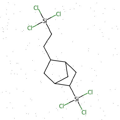 Cl[Si](Cl)(Cl)CCC1CC2CC1CC2[Si](Cl)(Cl)Cl